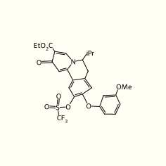 CCOC(=O)c1cn2c(cc1=O)-c1cc(OS(=O)(=O)C(F)(F)F)c(Oc3cccc(OC)c3)cc1CC2C(C)C